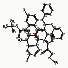 CCOC(=O)c1cnn2c(N(Cc3ccccc3)Cc3ccccc3)c(-c3ccc(F)cc3F)c(NC(C)c3cc(F)cnc3OC(C)CNC(=O)OC(C)(C)C)nc12